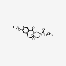 COC(=O)[C@H]1CC[C@@H]2CCc3cc(OC)ncc3C(=O)N2C1